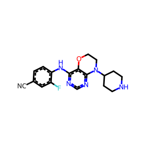 N#Cc1ccc(Nc2ncnc3c2OCCN3C2CCNCC2)c(F)c1